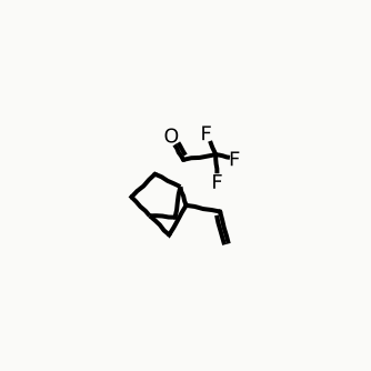 C=CC1CC2CCC1C2.O=CC(F)(F)F